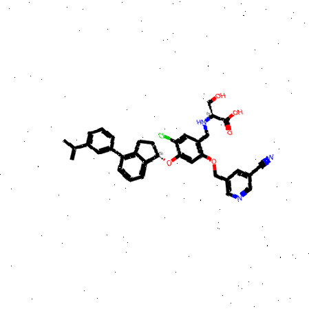 CC(C)c1cccc(-c2cccc3c2CC[C@@H]3Oc2cc(OCc3cncc(C#N)c3)c(CN[C@@H](CO)C(=O)O)cc2Cl)c1